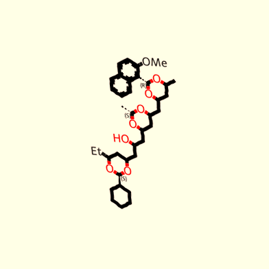 CCC1CC(CC(O)CC2CC(CC3CC(C)O[C@@H](c4c(OC)ccc5ccccc45)O3)O[C@@H](C)O2)O[C@@H](C2CCCCC2)O1